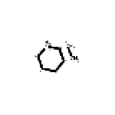 C1CC[SiH2]CC1.CC